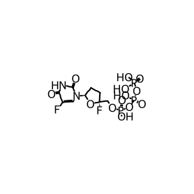 O=c1[nH]c(=O)n([C@H]2CC[C@@](F)(COP(=O)(O)OP(=O)(O)OP(=O)(O)O)O2)cc1F